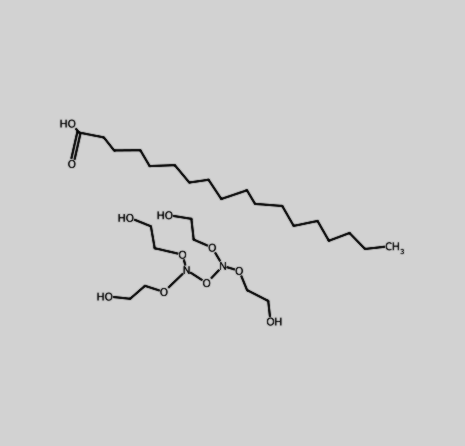 CCCCCCCCCCCCCCCCCC(=O)O.OCCON(OCCO)ON(OCCO)OCCO